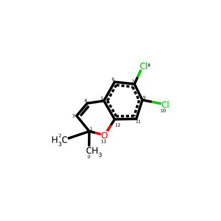 CC1(C)C=Cc2cc(Cl)c(Cl)cc2O1